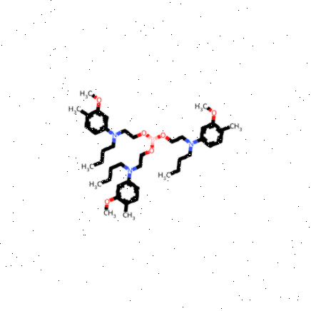 CCCCN(CCOB(OCCN(CCCC)c1ccc(C)c(OC)c1)OCCN(CCCC)c1ccc(C)c(OC)c1)c1ccc(C)c(OC)c1